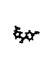 CC(C)N1CCN(C(=O)c2ccc(C(C)(C)C)s2)CC1